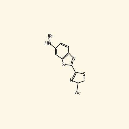 CC(=O)C1CSC(c2nc3ccc(NC(C)C)cc3s2)=N1